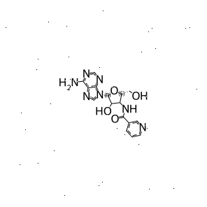 Nc1ncnc2c1ncn2[C@@H]1O[C@H](CO)C(NC(=O)c2cccnc2)C1O